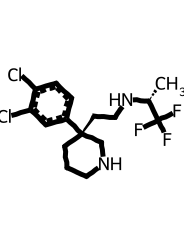 C[C@@H](NCC[C@]1(c2ccc(Cl)c(Cl)c2)CCCNC1)C(F)(F)F